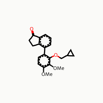 COc1ccc(-c2cccc3c2CCC3=O)c(OC[C]2CC2)c1OC